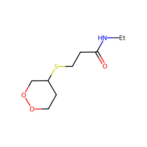 CCNC(=O)CCSC1CCOOC1